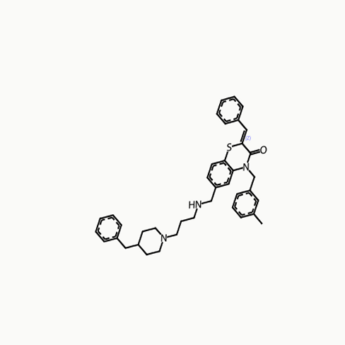 Cc1cccc(CN2C(=O)/C(=C/c3ccccc3)Sc3ccc(CNCCCN4CCC(Cc5ccccc5)CC4)cc32)c1